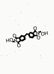 O=C1c2ccc(Cc3ccc4c(c3)C(=O)N(CO)C4=O)cc2C(=O)N1CO